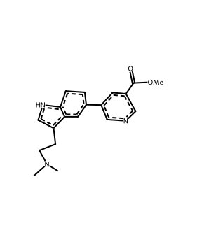 COC(=O)c1cncc(-c2ccc3[nH]cc(CCN(C)C)c3c2)c1